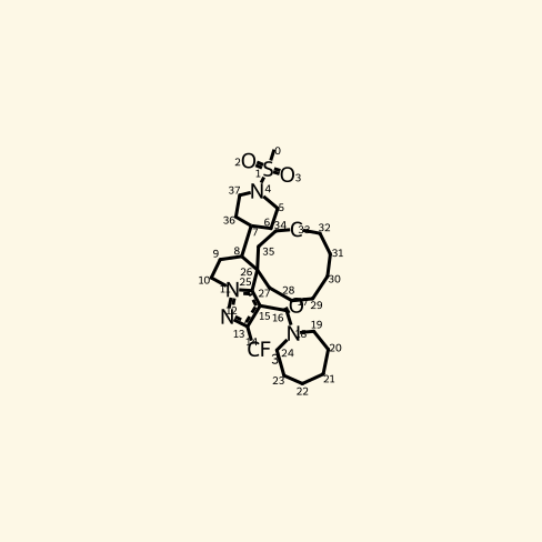 CS(=O)(=O)N1CCC(C2CCn3nc(C(F)(F)F)c(C(=O)N4CCCCCC4)c3C23CCCCCCCCC3)CC1